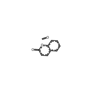 C=O.O=c1ccc2ccccc2o1